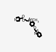 CC(=O)N(CCOC(=O)c1ccncc1)c1ccc(OCc2nc3ccccc3s2)cc1C